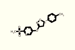 Cc1ccc([C@@H]2CC(Oc3ccc(S(C)(=O)=O)nc3)=NO2)cc1